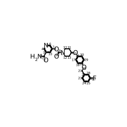 NC(=O)c1cncc(OC(=O)N2CCC(Oc3ccc(OCc4cccc(F)c4)cc3)CC2)c1